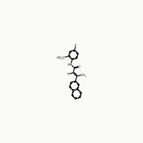 C/C(=C(/F)C(=O)Nc1ccc(F)cc1C(=O)O)c1ccc2ccccc2c1